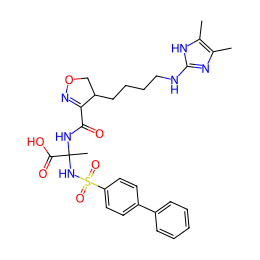 Cc1nc(NCCCCC2CON=C2C(=O)NC(C)(NS(=O)(=O)c2ccc(-c3ccccc3)cc2)C(=O)O)[nH]c1C